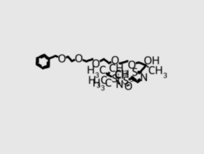 CC(C)(C)[Si](C)(C)N=S(=O)(Cl)c1cnc([C@@](C)(O)COCCOCCOCCOCCOCc2ccccc2)s1